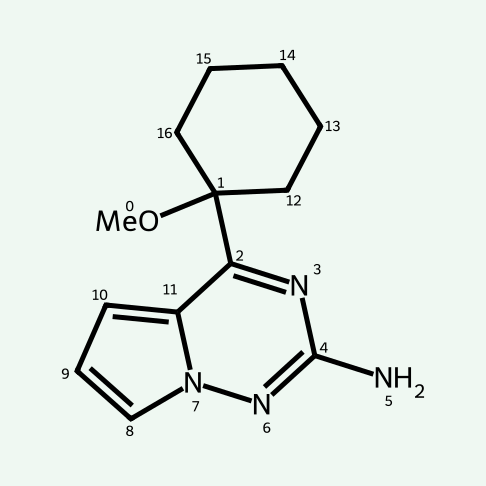 COC1(c2nc(N)nn3cccc23)CCCCC1